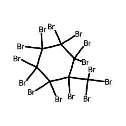 BrC(Br)(Br)C1(Br)C(Br)(Br)C(Br)(Br)C(Br)(Br)C(Br)(Br)C1(Br)Br